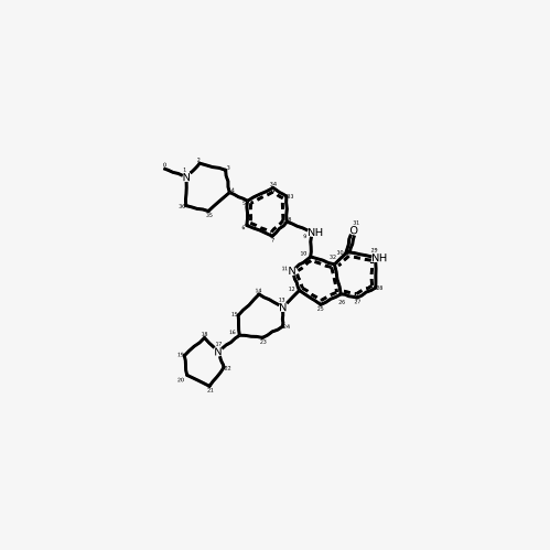 CN1CCC(c2ccc(Nc3nc(N4CCC(N5CCCCC5)CC4)cc4cc[nH]c(=O)c34)cc2)CC1